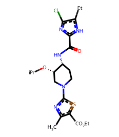 CCOC(=O)c1sc(N2CC[C@@H](NC(=O)c3nc(Cl)c(CC)[nH]3)[C@@H](OC(C)C)C2)nc1C